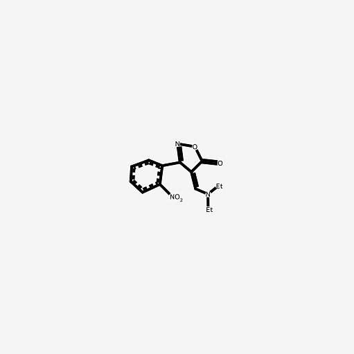 CCN(C=C1C(=O)ON=C1c1ccccc1[N+](=O)[O-])CC